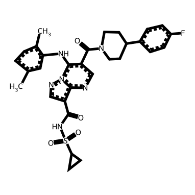 Cc1ccc(C)c(Nc2c(C(=O)N3CCC(c4ccc(F)cc4)CC3)cnc3c(C(=O)NS(=O)(=O)C4CC4)cnn23)c1